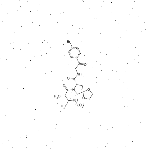 CC(NC(=O)O)[C@H](C)C(=O)N1CC2(C[C@H]1C(=O)NCC(=O)c1ccc(Br)cc1)OCCO2